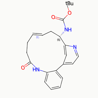 CC(C)(C)OC(=O)N[C@H]1C/C=C/CCC(=O)Nc2ccccc2-c2ccnc1c2